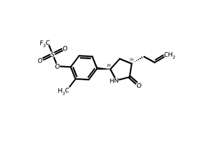 C=CC[C@H]1C[C@H](c2ccc(OS(=O)(=O)C(F)(F)F)c(C)c2)NC1=O